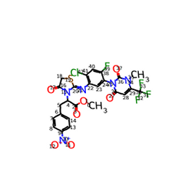 COC(=O)C(Cc1ccc([N+](=O)[O-])cc1)N1C(=O)CSC1=Nc1cc(-n2c(=O)cc(C(F)(F)F)n(C)c2=O)c(F)cc1Cl